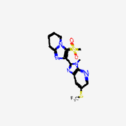 Cn1c(-c2nc3n(c2S(C)(=O)=O)CCCC3)nc2cc(SC(F)(F)F)cnc21